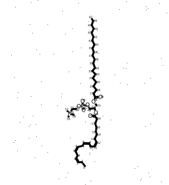 CC/C=C\C/C=C\C/C=C\C/C=C\CCCCCCC(=O)O[C@H](COC(=O)CCCCCCCCCCCCCCCCCCCCC)COP(=O)([O-])OCC[N+](C)(C)C